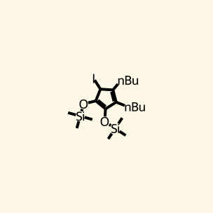 CCCCC1=C(CCCC)C(I)C(O[Si](C)(C)C)=C1O[Si](C)(C)C